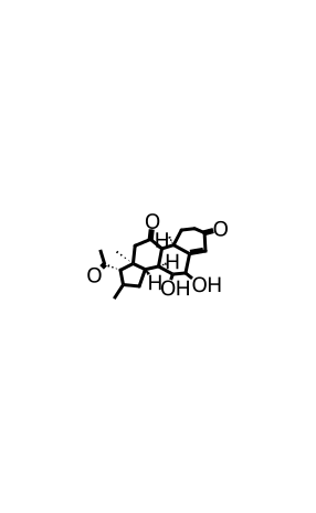 CC(=O)[C@H]1C(C)C[C@H]2[C@@H]3C(O)C(O)C4=CC(=O)CC[C@]4(C)[C@H]3C(=O)C[C@]12C